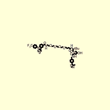 Cc1ncsc1-c1ccc(CNC(=O)C2CC(O)CN2C(=O)[C@@H](NC(=O)CCCOCCOCCOCCOCCNC(=O)c2ccc3c(c2)c2cn(C)nc2n3-c2ccc(C(F)(F)F)cc2)C(C)(C)C)cc1